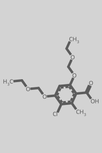 CCOCOc1cc(OCOCC)c(C(=O)O)c(C)c1Cl